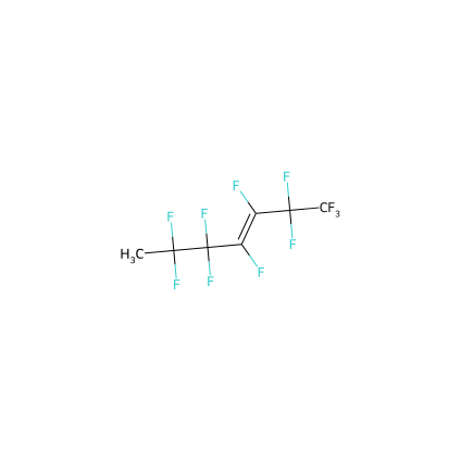 CC(F)(F)C(F)(F)/C(F)=C(\F)C(F)(F)C(F)(F)F